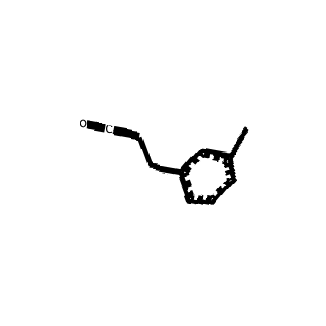 Cc1cccc(CC=C=O)c1